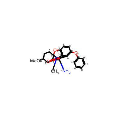 COC1CCC2(CC1)Oc1ccc(Oc3ccccc3)cc1C21N=C(N)N(C)C1=O